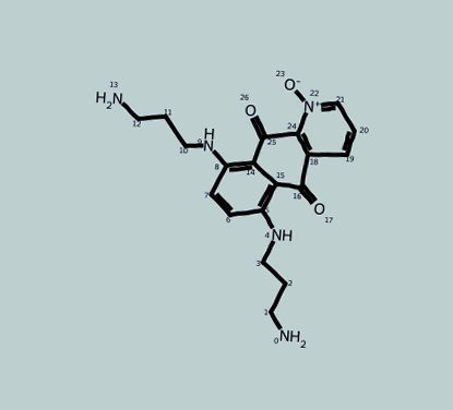 NCCCNc1ccc(NCCCN)c2c1C(=O)c1ccc[n+]([O-])c1C2=O